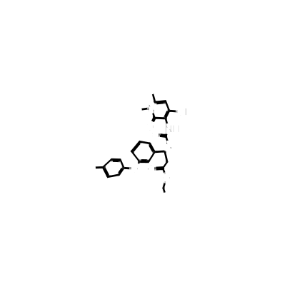 CCOC(=O)CC(NC(=O)Nc1c(O)cc(C)n(C)c1=O)c1cccc(Oc2ccc(C)cc2)c1